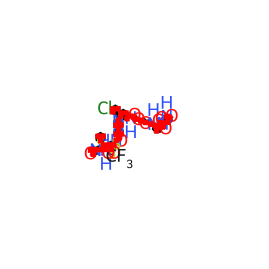 CC1(CNC(=O)COCCOCCNc2cccc3c2C(=O)N(C2CCC(=O)NC2=O)C3=O)CCC(c2ccc(Cl)cc2)=C(CN2CCN(c3ccc(C(=O)NSc4ccc(N[C@H](CCN5CCOCC5)CSc5ccccc5)c(S(=O)(=O)C(F)(F)F)c4)cc3)CC2)C1